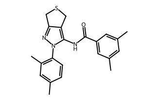 Cc1cc(C)cc(C(=O)Nc2c3c(nn2-c2ccc(C)cc2C)CSC3)c1